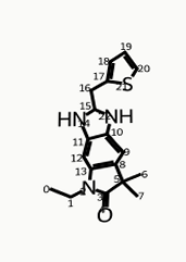 CCN1C(=O)C(C)(C)c2cc3c(cc21)NC(Cc1cccs1)N3